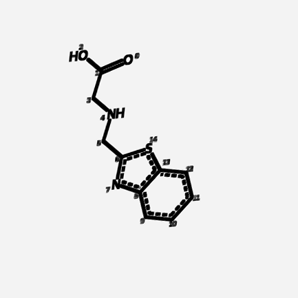 O=C(O)CNCc1nc2ccccc2s1